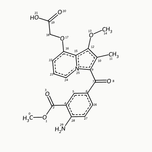 COC(=O)c1cc(C(=O)c2c(C)c(OC)c3c(OCC(=O)O)cccn23)ccc1N